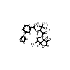 CC1CN(C(=O)C(NC(=O)c2cccc(-n3ccnc3)c2)C(C)(C)C)[C@@H]2C(=O)CO[C@H]12